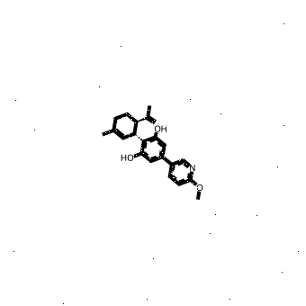 C=C(C)[C@@H]1CCC(C)=C[C@H]1c1c(O)cc(-c2ccc(OC)nc2)cc1O